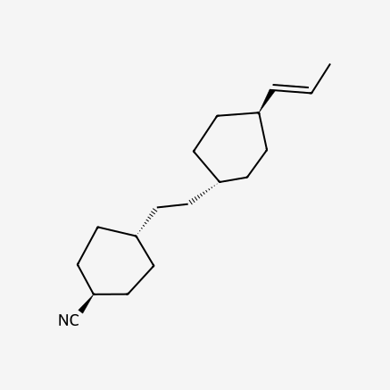 CC=C[C@H]1CC[C@H](CC[C@H]2CC[C@H](C#N)CC2)CC1